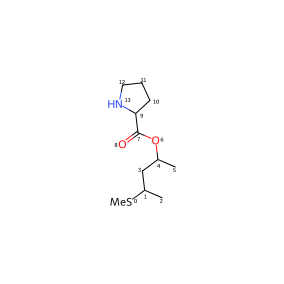 CSC(C)CC(C)OC(=O)C1CCCN1